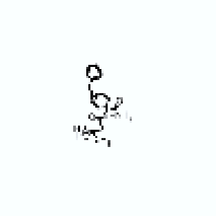 CC(C)(C)OC(=O)NC1(C(N)=O)CCN(Cc2ccccc2)CC1